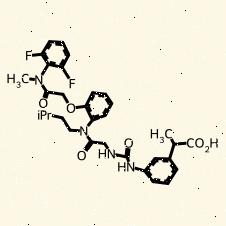 CC(C)CCN(C(=O)CNC(=O)Nc1cccc(C(C)C(=O)O)c1)c1ccccc1OCC(=O)N(C)c1c(F)cccc1F